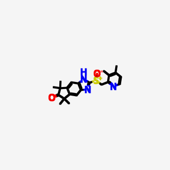 Cc1ccnc(C[S+]([O-])c2nc3cc4c(cc3[nH]2)C(C)(C)C(=O)C4(C)C)c1C